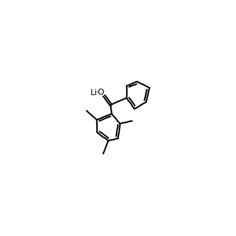 Cc1cc(C)c(C(=O)c2ccccc2)c(C)c1.[Li]